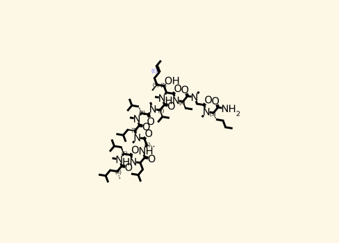 C/C=C/C[C@H](C)[C@H](O)C(C(=O)N[C@H](CC)C(=O)N(C)CC(=O)N(C)[C@@H](CCCC)C(N)=O)N(C)C(=O)[C@@H](C(C)C)N(C)C(=O)[C@@H](CC(C)C)N(C)C(=O)[C@H](CC(C)C)N(C)C(=O)[C@H](C)NC(=O)C(CC(C)C)NC(=O)[C@H](CC(C)C)N(C)C(=O)[C@H](C)CC(C)C